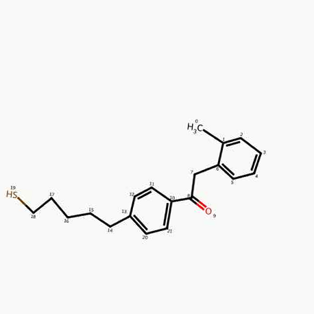 Cc1ccccc1CC(=O)c1ccc(CCCCCS)cc1